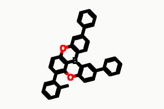 Cc1ccccc1-c1ccc2c3c1Oc1ccc(-c4ccccc4)cc1B3c1ccc(-c3ccccc3)cc1O2